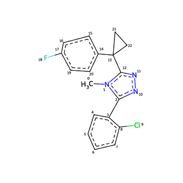 Cn1c(-c2ccccc2Cl)nnc1C1(c2ccc(F)cc2)CC1